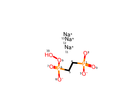 O=P([O-])([O-])CCP(=O)([O-])OO.[Na+].[Na+].[Na+]